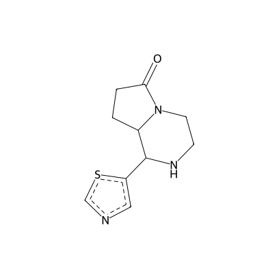 O=C1CCC2C(c3cncs3)NCCN12